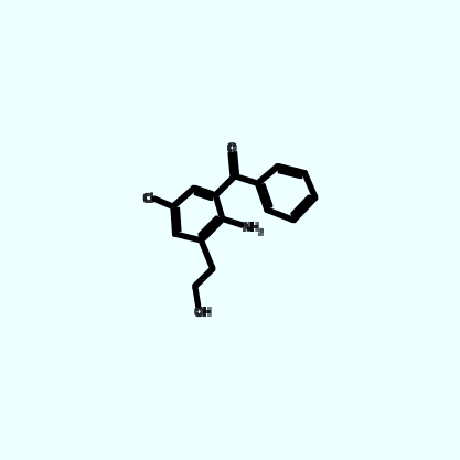 Nc1c(CCO)cc(Cl)cc1C(=O)c1ccccc1